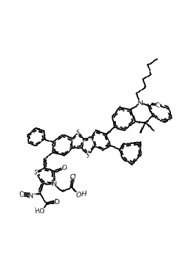 [C-]#[N+]/C(C(=O)O)=c1\s/c(=C/c2cc3c(cc2-c2ccccc2)sc2c4cc(-c5ccc6c(c5)C(C)(C)c5ccccc5N6CCCCCC)c(-c5ccccc5)cc4sc32)c(=O)n1CC(=O)O